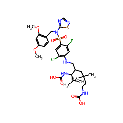 COc1ccc(CN(c2ncns2)S(=O)(=O)c2cc(Cl)c(NCC(CC(C)(C)CCNC(=O)O)C(NC(=O)O)C(C)C)cc2F)c(OC)c1